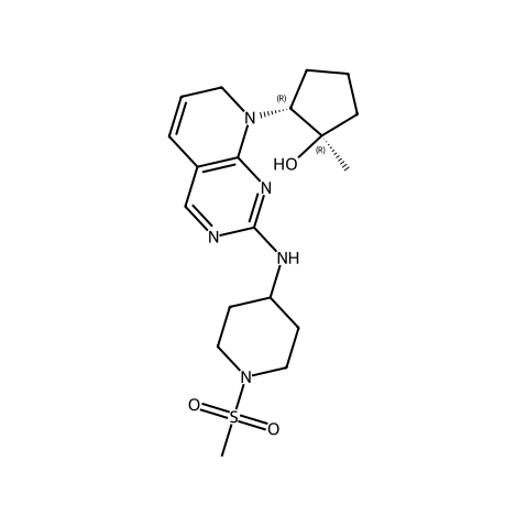 C[C@@]1(O)CCC[C@H]1N1CC=Cc2cnc(NC3CCN(S(C)(=O)=O)CC3)nc21